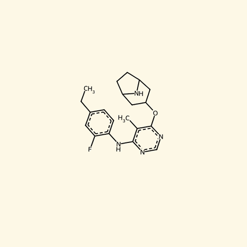 CCc1ccc(Nc2ncnc(OC3CC4CCC(C3)N4)c2C)c(F)c1